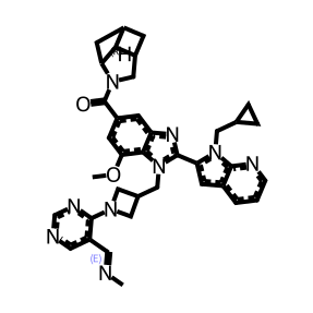 C/N=C/c1cncnc1N1CC(Cn2c(-c3cc4cccnc4n3CC3CC3)nc3cc(C(=O)N4CC5CC6CC4[C@H]65)cc(OC)c32)C1